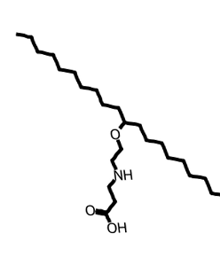 CCCCCCCCCCC(CCCCCCCCCC)OCCNCCC(=O)O